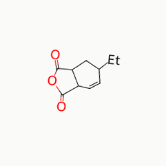 CCC1C=CC2C(=O)OC(=O)C2C1